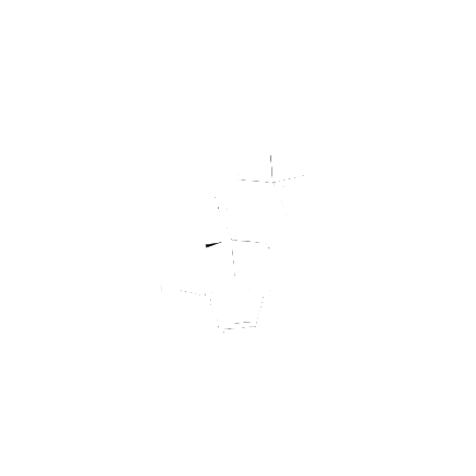 Cn1nccc1[C@@]1(O)CCC(F)(F)C[C@H]1O